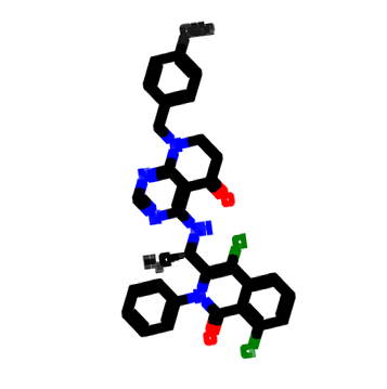 COc1ccc(CN2CCC(=O)c3c(N[C@@H](C)c4c(Cl)c5cccc(Cl)c5c(=O)n4-c4ccccc4)ncnc32)cc1